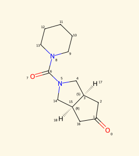 O=C1C[C@@H]2CN(C(=O)N3CCCCC3)C[C@@H]2C1